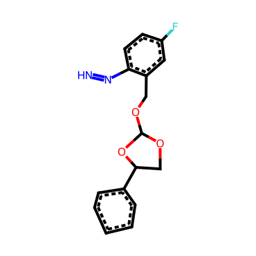 N=Nc1ccc(F)cc1COC1OCC(c2ccccc2)O1